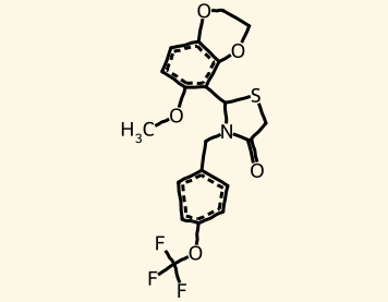 COc1ccc2c(c1C1SCC(=O)N1Cc1ccc(OC(F)(F)F)cc1)OCCO2